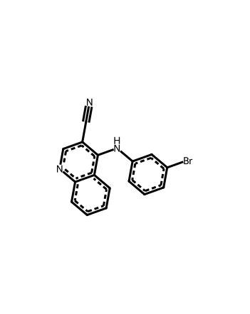 N#Cc1cnc2ccccc2c1Nc1cccc(Br)c1